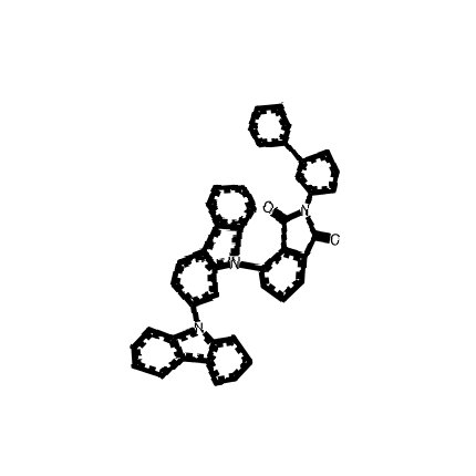 O=C1c2cccc(-n3c4ccccc4c4ccc(-n5c6ccccc6c6ccccc65)cc43)c2C(=O)N1c1cccc(-c2ccccc2)c1